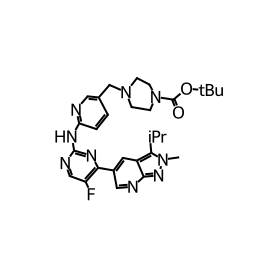 CC(C)c1c2cc(-c3nc(Nc4ccc(CN5CCN(C(=O)OC(C)(C)C)CC5)cn4)ncc3F)cnc2nn1C